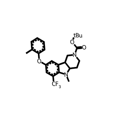 Cc1ccccc1Oc1cc2c(c(C(F)(F)F)c1)N(C)C1CCN(C(=O)OC(C)(C)C)CC21